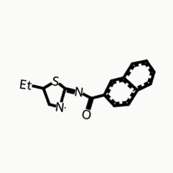 CCC1C[N]C(=NC(=O)c2ccc3ccccc3c2)S1